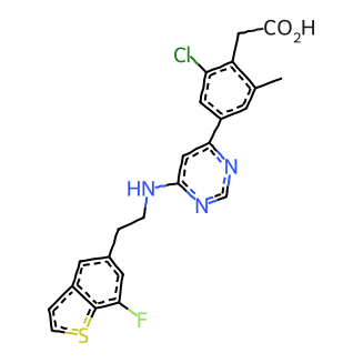 Cc1cc(-c2cc(NCCc3cc(F)c4sccc4c3)ncn2)cc(Cl)c1CC(=O)O